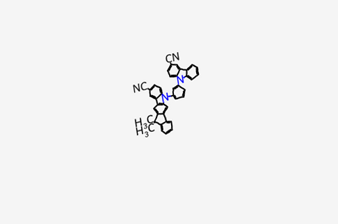 CC1(C)c2ccccc2-c2cc3c(cc21)c1cc(C#N)ccc1n3-c1cccc(-n2c3ccccc3c3cc(C#N)ccc32)c1